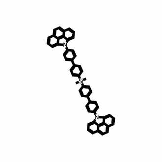 C[Si](C)(c1ccc(-c2ccc(-n3c4cccc5ccc6cccc3c6c54)cc2)cc1)c1ccc(-c2ccc(-n3c4cccc5ccc6cccc3c6c54)cc2)cc1